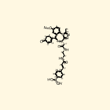 COc1ccc2c(c1)C(c1ccc(Cl)cc1)=N[C@@H](CC(=O)NCCNC(=O)C=Cc1ccc(B(O)O)cc1)c1nnc(C)n1-2